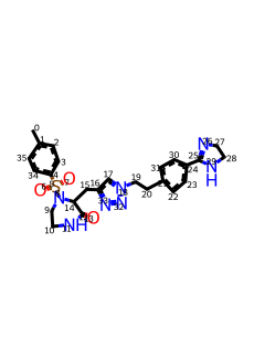 Cc1ccc(S(=O)(=O)N2CCNC(=O)C2Cc2cn(CCc3ccc(C4=NCCN4)cc3)nn2)cc1